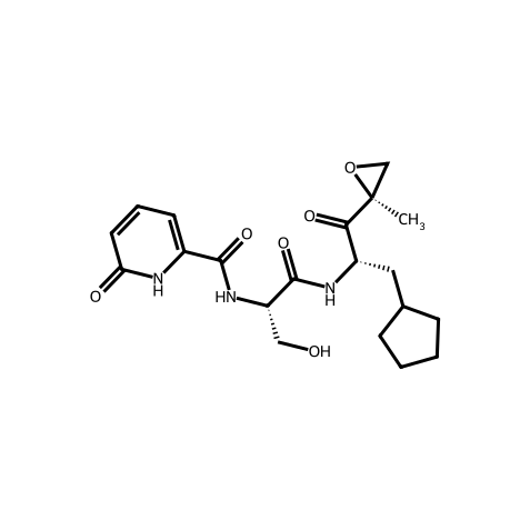 C[C@@]1(C(=O)[C@H](CC2CCCC2)NC(=O)[C@H](CO)NC(=O)c2cccc(=O)[nH]2)CO1